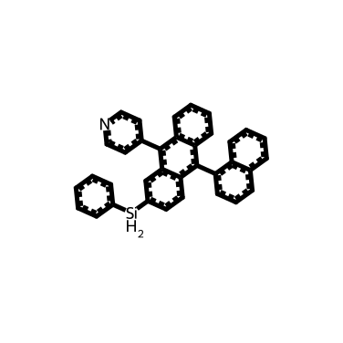 c1ccc([SiH2]c2ccc3c(-c4cccc5ccccc45)c4ccccc4c(-c4ccncc4)c3c2)cc1